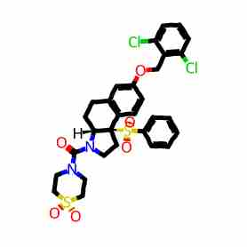 O=C(N1CCS(=O)(=O)CC1)N1CC[C@@]2(S(=O)(=O)c3ccccc3)c3ccc(OCc4c(Cl)cccc4Cl)cc3CC[C@@H]12